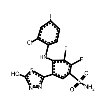 NS(=O)(=O)c1cc(-c2nnc(O)s2)c(Nc2ccc(I)cc2Cl)c(F)c1F